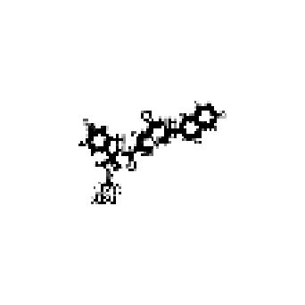 CC(C)(C)OC(=O)N1CC(NC(=O)c2cc3c(=O)[nH]c(-c4ccc5ccccc5c4)cn3n2)(c2ccc(F)cc2)C1